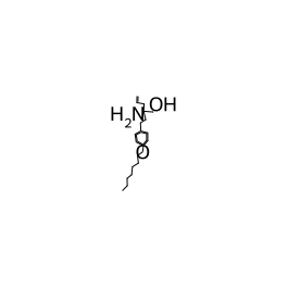 C=CCC(N)(CO)CCc1ccc(OCCCCCCC)cc1